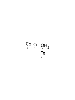 O.[Co].[Cr].[Fe]